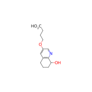 O=C(O)CCCOc1cnc2c(c1)CCCC2O